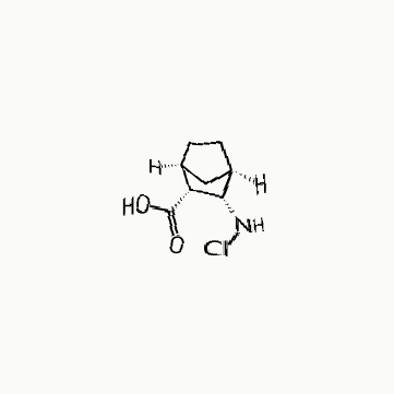 O=C(O)[C@@H]1[C@H]2CC[C@H](C2)[C@@H]1NCl